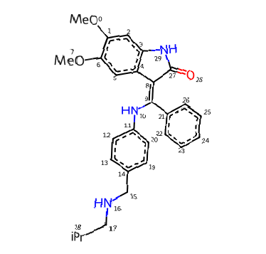 COc1cc2c(cc1OC)C(=C(Nc1ccc(CNCC(C)C)cc1)c1ccccc1)C(=O)N2